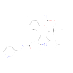 Cc1ccc(-c2c(CC(=O)NCc3cccnc3)c(C)nc(CC(C)C)c2C(OC(N)=O)C(C)(C)C)cc1